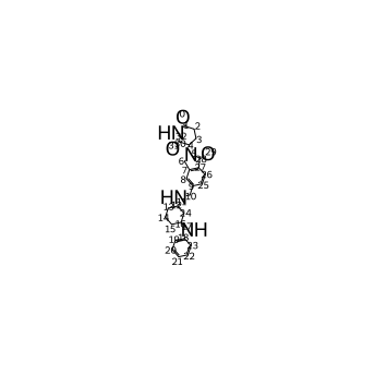 O=C1CCC(N2Cc3cc(CNC4CCCC(Nc5ccccc5)C4)ccc3C2=O)C(=O)N1